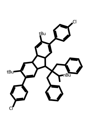 CCCCC(C)C(Cc1ccccc1)(Cc1ccccc1)C1C2C=C(c3ccc(Cl)cc3)C(C(C)(C)C)=CC2C2C=C(C(C)(C)C)C(c3ccc(Cl)cc3)=CC21